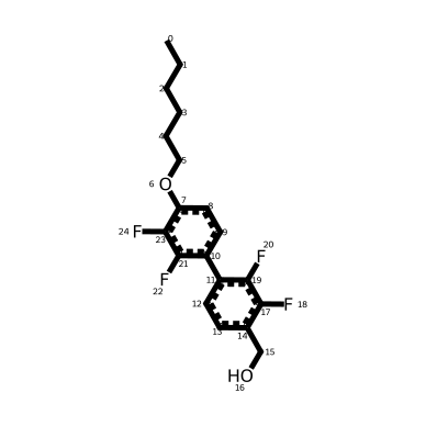 CCCCCCOc1ccc(-c2ccc(CO)c(F)c2F)c(F)c1F